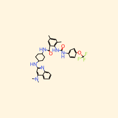 Cc1cc(C)c(NC(=O)Nc2ccc(OC(F)(F)F)cc2)c(C(=O)NC2CCC(Nc3cc(N(C)C)c4ccccc4n3)CC2)c1